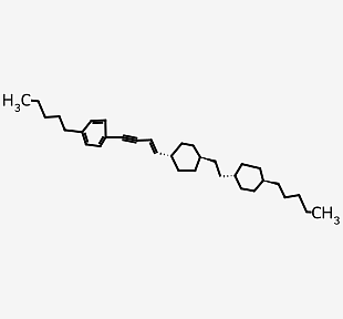 CCCCCc1ccc(C#CC=C[C@H]2CC[C@H](CC[C@H]3CC[C@H](CCCCC)CC3)CC2)cc1